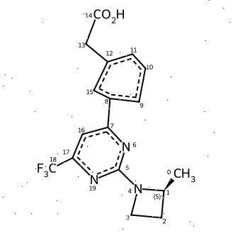 C[C@H]1CCN1c1nc(-c2cccc(CC(=O)O)c2)cc(C(F)(F)F)n1